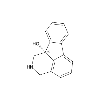 O[C@@]12CNCc3cccc(c31)-c1ccccc12